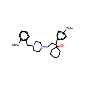 COc1ccc(C(CCN2CCN(Cc3ccccc3OC)CC2)C2(O)CCCCC2)cc1